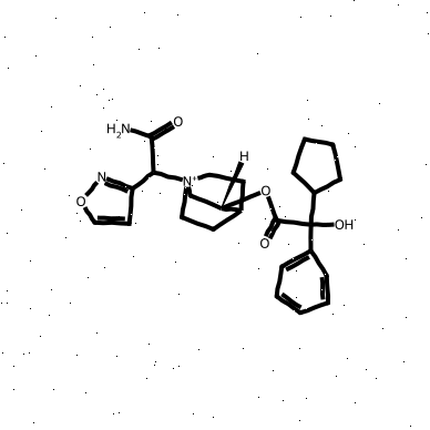 NC(=O)C(c1ccon1)[N+]12CCC(CC1)[C@@H](OC(=O)C(O)(c1ccccc1)C1CCCC1)C2